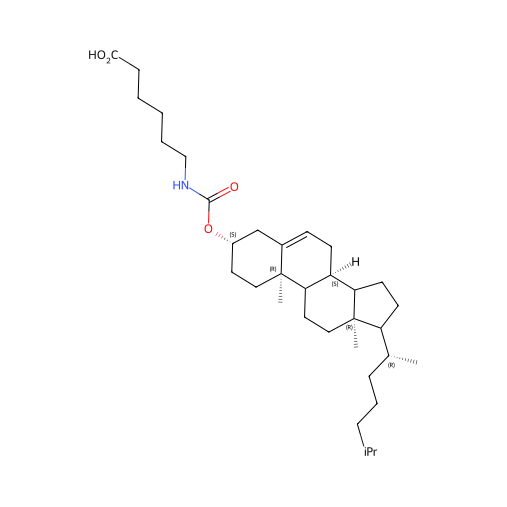 CC(C)CCC[C@@H](C)C1CCC2[C@@H]3CC=C4C[C@@H](OC(=O)NCCCCCC(=O)O)CC[C@]4(C)C3CC[C@@]21C